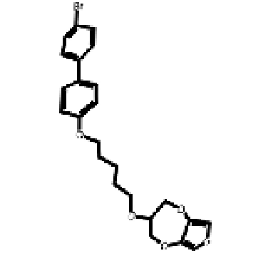 Brc1ccc(-c2ccc(OCCCCCOC3COc4cscc4OC3)cc2)cc1